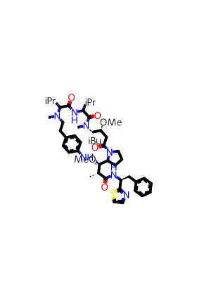 CC[C@H](C)[C@@H]([C@@H](CC(=O)N1CCCC1[C@H](OC)[C@@H](C)C(=O)N[C@@H](Cc1ccccc1)c1nccs1)OC)N(C)C(=O)C(NC(=O)C(C(C)C)N(C)CCc1ccc(N)cc1)C(C)C